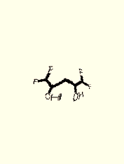 OC(CC(O)C(F)F)C(F)F